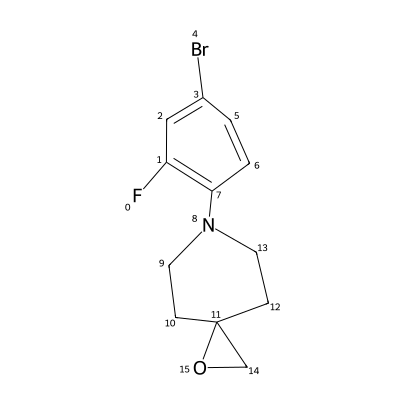 Fc1cc(Br)ccc1N1CCC2(CC1)CO2